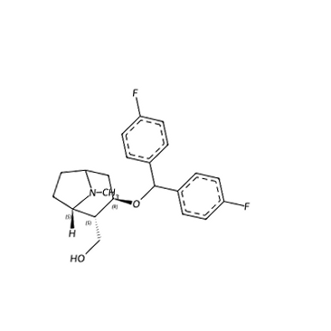 CN1C2CC[C@H]1[C@@H](CO)[C@H](OC(c1ccc(F)cc1)c1ccc(F)cc1)C2